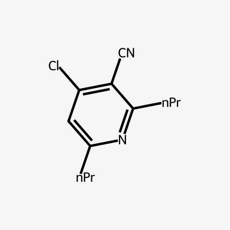 CCCc1cc(Cl)c(C#N)c(CCC)n1